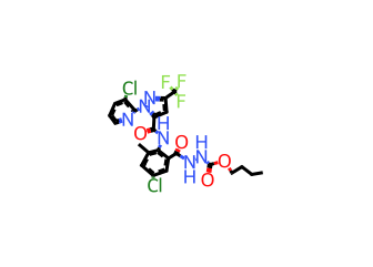 CCCCOC(=O)NNC(=O)c1cc(Cl)cc(C)c1NC(=O)c1cc(C(F)(F)F)nn1-c1ncccc1Cl